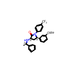 COc1cccc([C@H]2C[C@@H](N[C@H](C)c3ccccc3)C(=O)N2c2ccc(C(F)(F)F)cc2)c1